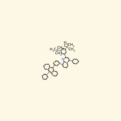 CC(C)(C)c1cc(-c2cc(-c3ccccc3)c3cccc(-c4cccc(-c5c6ccccc6c(-c6ccccc6)c6ccccc56)c4)c3n2)cc(C(C)(C)C)c1